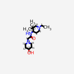 CCN1CCC(NC(=O)CN2CCC(O)CC2)C(C)(C)C1